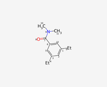 CCc1cc(CC)cc(C(=O)N(C)C)c1